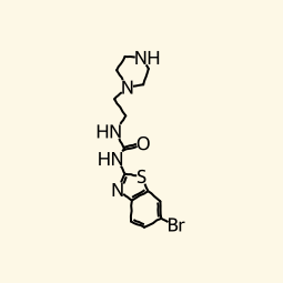 O=C(NCCN1CCNCC1)Nc1nc2ccc(Br)cc2s1